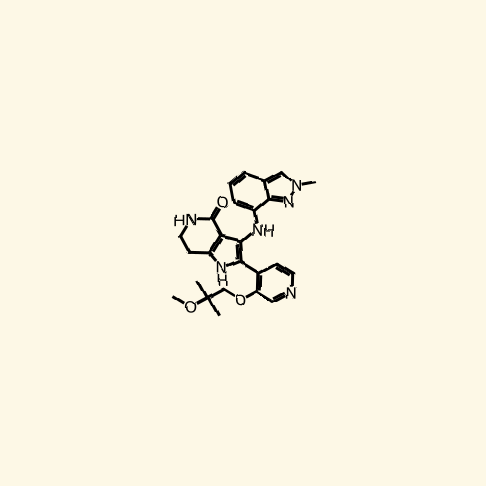 COC(C)(C)COc1cnccc1-c1[nH]c2c(c1Nc1cccc3cn(C)nc13)C(=O)NCC2